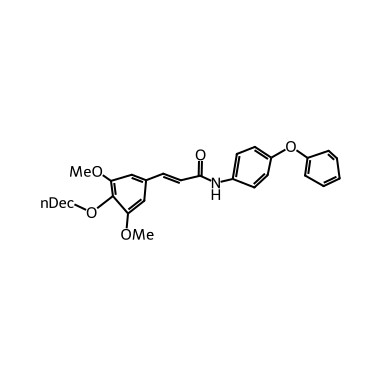 CCCCCCCCCCOc1c(OC)cc(/C=C/C(=O)Nc2ccc(Oc3ccccc3)cc2)cc1OC